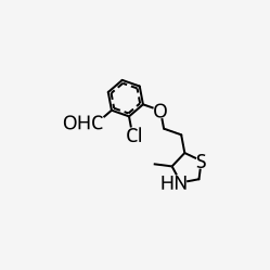 CC1NCSC1CCOc1cccc(C=O)c1Cl